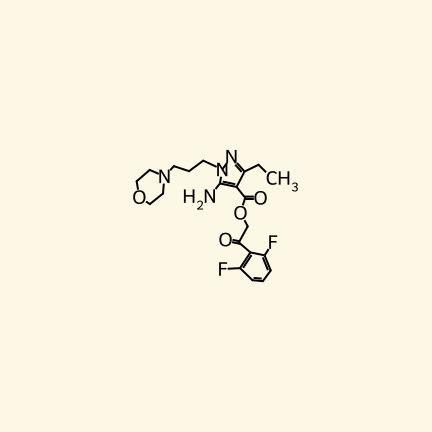 CCc1nn(CCCN2CCOCC2)c(N)c1C(=O)OCC(=O)c1c(F)cccc1F